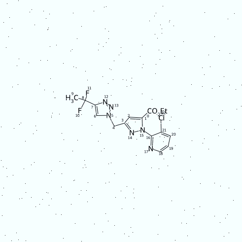 CCOC(=O)c1cc(Cn2cc(C(C)(F)F)nn2)nn1-c1ncccc1Cl